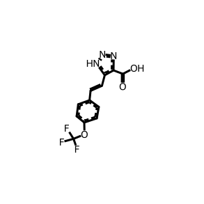 O=C(O)c1nn[nH]c1/C=C/c1ccc(OC(F)(F)F)cc1